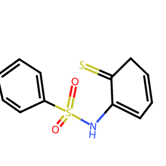 O=S(=O)(NC1=CC=CCC1=S)c1ccccc1